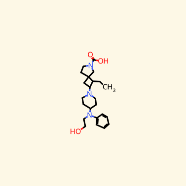 CCC1C(N2CCC(N(CCO)c3ccccc3)CC2)CC12CCN(C(=O)O)C2